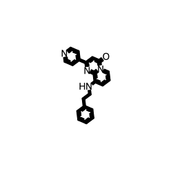 O=c1cc(-c2ccncc2)nc2c(NCCc3ccccc3)cccn12